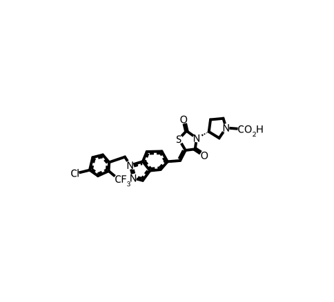 O=C(O)N1CC[C@@H](N2C(=O)S/C(=C\c3ccc4c(cnn4Cc4ccc(Cl)cc4C(F)(F)F)c3)C2=O)C1